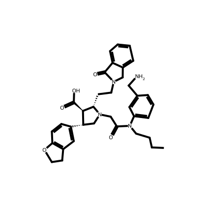 CCCCN(C(=O)CN1C[C@H](c2ccc3c(c2)CCO3)[C@@H](C(=O)O)[C@@H]1CCN1Cc2ccccc2C1=O)c1cccc(CN)c1